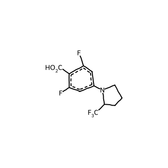 O=C(O)c1c(F)cc(N2CCCC2C(F)(F)F)cc1F